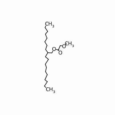 CCCCCCCCCCC(CCCCCCCC)COC(=O)COC